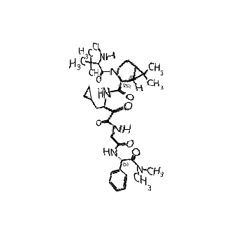 CN(C)C(=O)[C@@H](NC(=O)CNC(=O)C(=O)C(CC1CC1)NC(=O)[C@@H]1[C@@H]2C(CN1C(=O)C(NCl)C(C)(C)C)C2(C)C)c1ccccc1